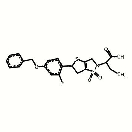 CCC(C(=O)O)N1CC2=C(CC(c3ccc(OCc4ccccc4)cc3F)S2)S1(=O)=O